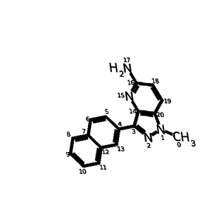 Cn1nc(-c2ccc3ccccc3c2)c2nc(N)ccc21